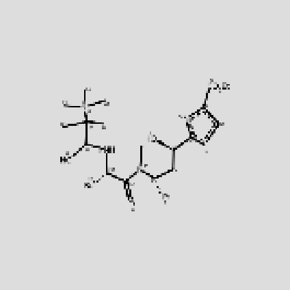 CCOC(=O)c1csc([C@H](O)C[C@H](C(C)C)N(C)C(=O)[C@@H](NC(O)C(C)(C)[N+](C)(C)C)C(C)CC)n1